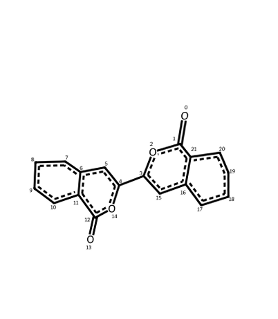 O=c1oc(-c2cc3ccccc3c(=O)o2)cc2ccccc12